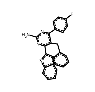 Nc1nc(-c2ccc(F)cc2)c(Cc2ccccc2)c(-c2cc3ccccc3s2)n1